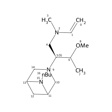 C=CN(C)C[C@@H](C(C)OC)N1CC2CC(C1)N2CCCC